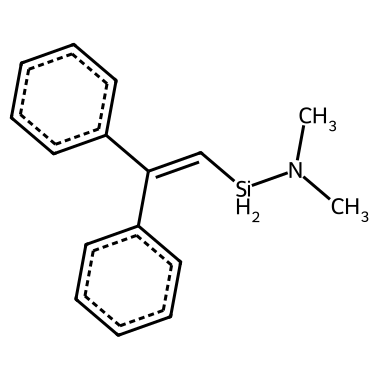 CN(C)[SiH2]C=C(c1ccccc1)c1ccccc1